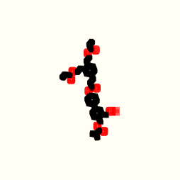 C=CC(=O)OCCc1ccc(CCC(=O)Oc2ccc(-c3ccc(COC(=O)C(=C)C)c(CO)c3)cc2)cc1CCOC(=O)C=C